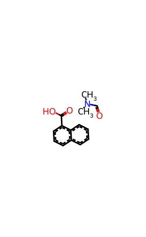 CN(C)C=O.O=C(O)c1cccc2ccccc12